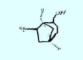 NC1C[C@@H]2CC(O)[C@H]1C2